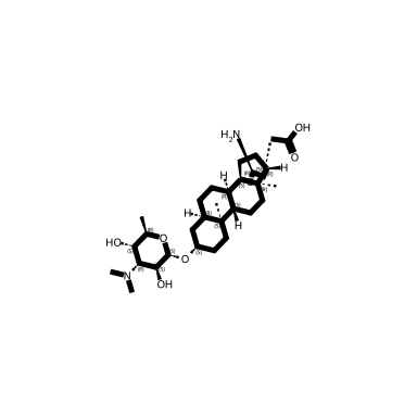 C[C@H]1O[C@H](O[C@H]2CC[C@@]3(C)[C@H](CC[C@@H]4[C@@H]3CC[C@]3(C)[C@@H]5CC[C@]43O[C@@H](N)[C@H]5CC(=O)O)C2)[C@@H](O)[C@H](N(C)C)[C@@H]1O